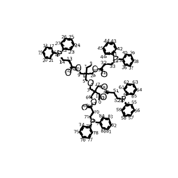 CCC(COCC(CC)(COC(=O)CCP(c1ccccc1)c1ccccc1)COC(=O)CCP(c1ccccc1)c1ccccc1)(COC(=O)CCP(c1ccccc1)c1ccccc1)COC(=O)CCP(c1ccccc1)c1ccccc1